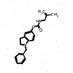 C=C(C)CNC(=O)Oc1ccc2c(c1)CCN2Cc1ccccc1